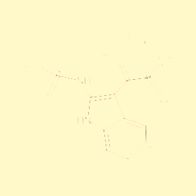 C=C(C(=O)O)c1c(NC(C)=O)[nH]c2ccccc12.O